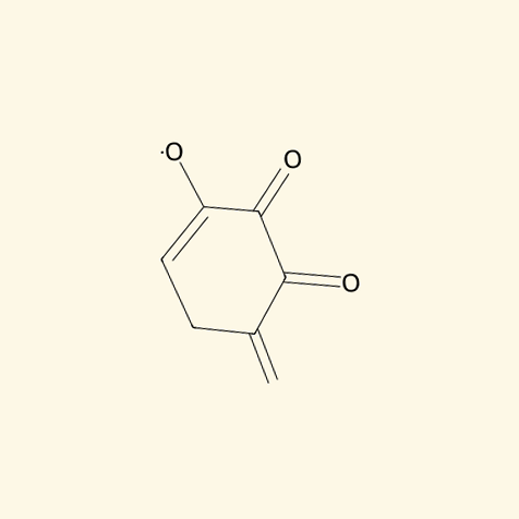 C=C1CC=C([O])C(=O)C1=O